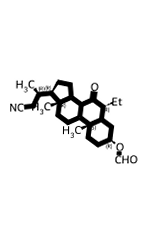 CC[C@H]1C(=O)C2C(CC[C@@]3(C)C2CC[C@@H]3[C@H](C)CC#N)[C@@]2(C)CC[C@@H](OC=O)CC12